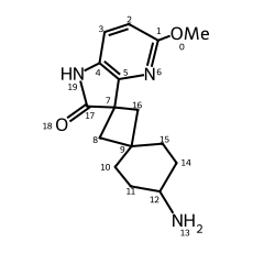 COc1ccc2c(n1)C1(CC3(CCC(N)CC3)C1)C(=O)N2